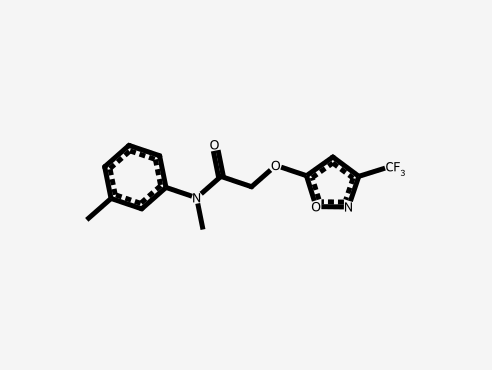 Cc1cccc(N(C)C(=O)COc2cc(C(F)(F)F)no2)c1